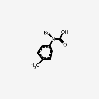 Cc1ccc(N(Br)C(=O)O)cc1